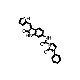 O=C1Nc2cc(NC(=O)n3ccn(-c4ccccc4)c3=O)ccc2/C1=C/c1ccc[nH]1